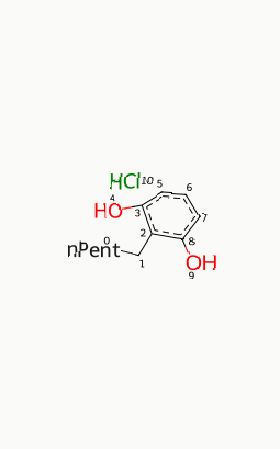 CCCCCCc1c(O)cccc1O.Cl